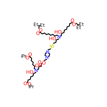 CCC(CC)COC(=O)CCCCCCC(O)CN(CCCCSSCCN1CCN(CCOC(=O)CCCN(CC(O)CCCCC(=O)OC(C)C)CC(O)CCCCC(=O)OC(C)C)CC1)CC(O)CCCCCCC(=O)OCC(CC)CC